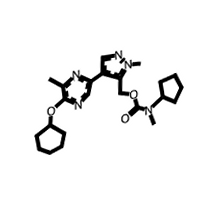 Cc1nc(-c2cnn(C)c2COC(=O)N(C)C2CCCC2)cnc1OC1CCCCC1